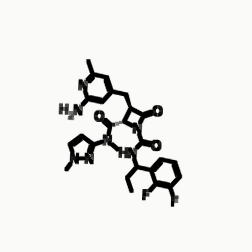 CCC(NC(=O)N1C(=O)[C@H](Cc2cc(C)nc(N)c2)[C@H]1C(=O)N(C)c1ccn(C)n1)c1cccc(F)c1F